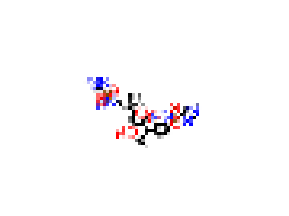 CCC(CCNS(=O)(=O)c1cn(C)cn1)c1cc(O)c(C(c2cccc(NS(=O)(=O)c3cn(C)cn3)c2)C2CC2)c(=O)o1